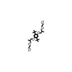 COCCOCC(C)COc1cc(C(C)(C)C)c(OCC(C)COCCOC)cc1C(C)(C)C